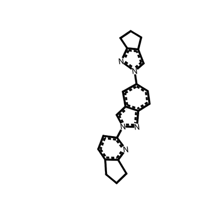 c1cc2nn(-c3ccc4c(n3)CCC4)cc2cc1-n1cc2c(n1)CCC2